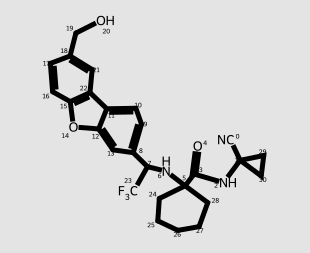 N#CC1(NC(=O)C2(NC(c3ccc4c(c3)oc3ccc(CO)cc34)C(F)(F)F)CCCCC2)CC1